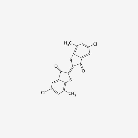 Cc1cc(Cl)cc2c1S/C(=C1/Sc3c(C)cc(Cl)cc3C1=O)C2=O